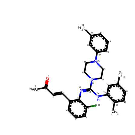 COC(=O)/C=C/c1cccc(F)c1N=C(Nc1cc(C(F)(F)F)ccc1C)N1CCN(c2cccc(C)c2)CC1